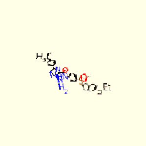 CCOC(=O)C[S+]([O-])c1ccc(NC(=O)c2nc(-c3ccc(C)cc3)cnc2N)cc1